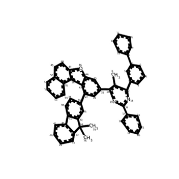 Cc1c(-c2cccc(-c3ccccc3)c2)nc(-c2ccccc2)nc1-c1cc(-c2ccc3c(c2)C(C)(C)c2ccccc2-3)c2c(c1)oc1ccc3ccccc3c12